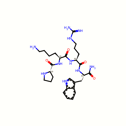 N=C(N)NCCC[C@H](NC(=O)[C@H](CCCCN)NC(=O)[C@@H]1CCCN1)C(=O)N[C@@H](Cc1c[nH]c2ccccc12)C(N)=O